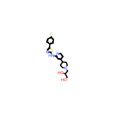 OCC(O)CN1CCC(c2ccnc(Nc3ncc(-c4ccc(F)cc4)s3)c2)CC1